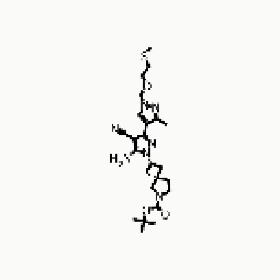 CSCCOCn1cc(-c2nn([C@H]3C[C@@]4(CCN(C(=O)OC(C)(C)C)C4)C3)c(N)c2C#N)c(C)n1